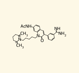 CC(=O)Nc1ccc2cc(-c3cccc(C(=N)N)c3)c(=O)n(CCCCCN3[C@H](C)CCC[C@@H]3C)c2c1